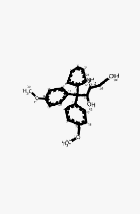 COc1ccc(C(c2ccccc2)(c2ccc(OC)cc2)C(O)[C@H](N)CO)cc1